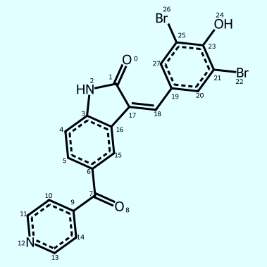 O=C1Nc2ccc(C(=O)c3ccncc3)cc2C1=Cc1cc(Br)c(O)c(Br)c1